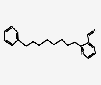 O=Cc1cccnc1CCCCCCCCc1ccccc1